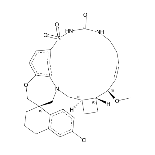 CO[C@@H]1C=CCCNC(=O)NS(=O)(=O)c2ccc3c(c2)N(C[C@@H]2CC[C@H]21)C[C@@]1(CCCc2cc(Cl)ccc21)CO3